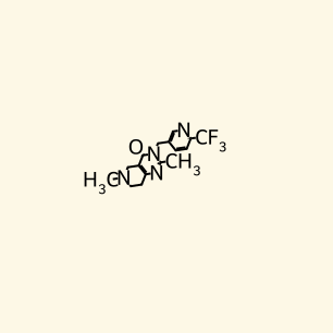 Cc1nc2c(c(=O)n1Cc1ccc(C(F)(F)F)nc1)CN(C)CC2